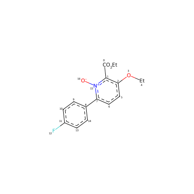 CCOC(=O)c1c(OCC)ccc(-c2ccc(F)cc2)[n+]1[O-]